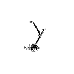 C#CCOCCOCCOCCOCCC(=O)N(CCOCCOCC)CCOCCOCCOCCNC(=O)O[C@@H]([C@@H]1OC(C(=O)O)=C[C@H](NC(=N)N)[C@H]1NC(C)=O)[C@H](O)CO